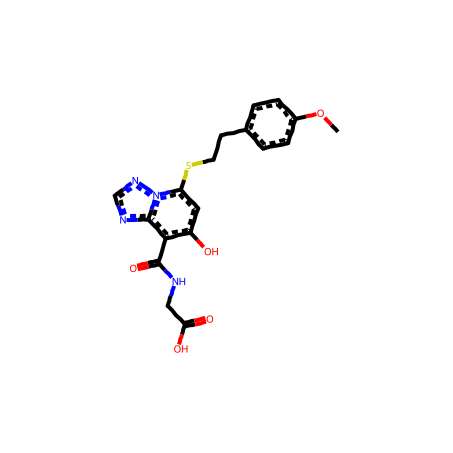 COc1ccc(CCSc2cc(O)c(C(=O)NCC(=O)O)c3ncnn23)cc1